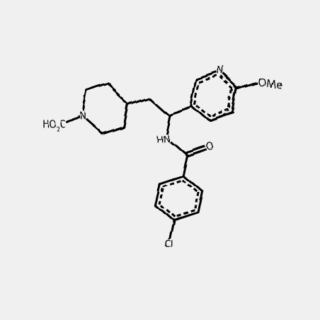 COc1ccc(C(CC2CCN(C(=O)O)CC2)NC(=O)c2ccc(Cl)cc2)cn1